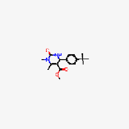 COC(=O)C1=C(C)N(C)C(=O)NC1c1ccc(C(C)(C)C)cc1